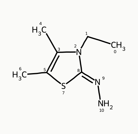 CCn1c(C)c(C)s/c1=N\N